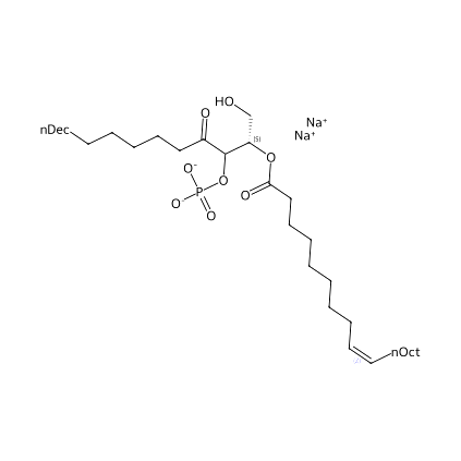 CCCCCCCC/C=C\CCCCCCCC(=O)O[C@@H](CO)C(OP(=O)([O-])[O-])C(=O)CCCCCCCCCCCCCCC.[Na+].[Na+]